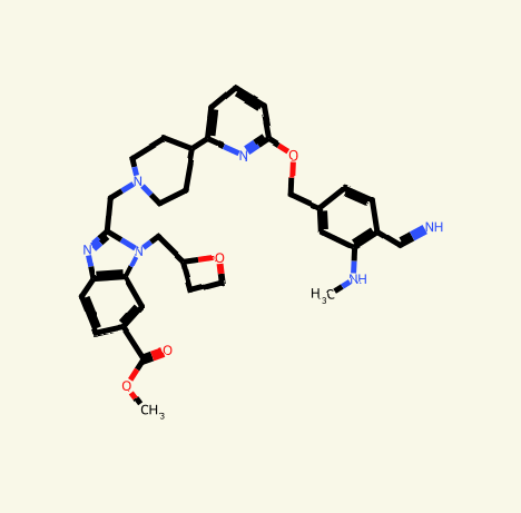 CNc1cc(COc2cccc(C3CCN(Cc4nc5ccc(C(=O)OC)cc5n4CC4CCO4)CC3)n2)ccc1C=N